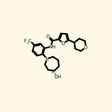 O=C(Nc1cc(C(F)(F)F)ccc1N1CCC[C@H](O)CC1)c1ccc(C2CCOCC2)o1